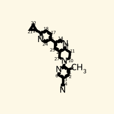 Cc1cc(C#N)cnc1N1CCc2ncc(-c3ccc(C4CC4)nc3)cc2C1